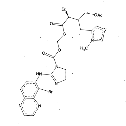 CC[C@H](C(=O)OCOC(=O)N1CCN=C1Nc1ccc2nccnc2c1Br)C(COC(C)=O)Cc1cncn1C